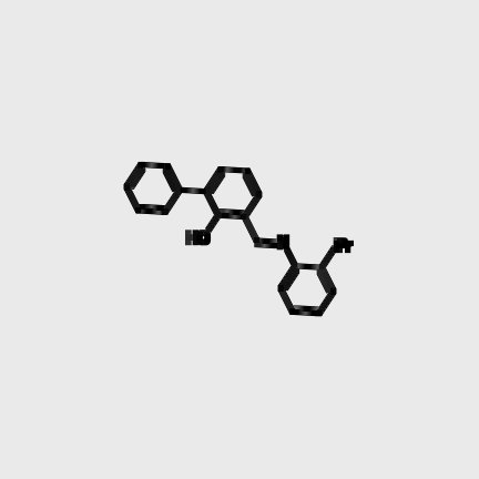 CC(C)c1ccccc1N=Cc1cccc(-c2ccccc2)c1O